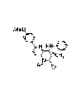 COc1ccc(-c2ccc3c(n2)C(Nc2ccccc2)[C@@H](C)C(C2CC2)N3C(C)=O)cn1